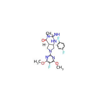 COc1nc(N2C[C@H]3C(=O)N(C)C(=N)N[C@@]3(c3cc(F)ccc3F)C2)nc(OC)c1F